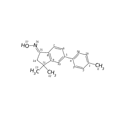 Cc1ccc(-c2ccc3c(c2)C(C)(C)C/C3=N\O)cc1